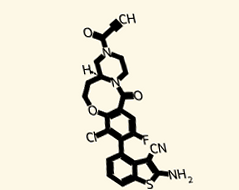 C#CC(=O)N1CCN2C(=O)c3cc(F)c(-c4cccc5sc(N)c(C#N)c45)c(Cl)c3OCC[C@H]2C1